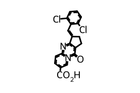 O=C(O)c1ccc2nc3c(c(=O)n2c1)CCC3=Cc1c(Cl)cccc1Cl